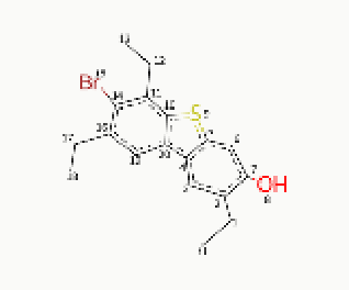 CCc1cc2c(cc1O)sc1c(CC)c(Br)c(CC)cc12